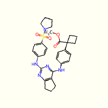 COC(=O)C1(c2ccc(Nc3nc(Nc4ccc(S(=O)(=O)N5CCCC5)cc4)nc4c3CCC4)cc2)CCC1